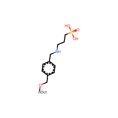 CCCCCCCCOCc1ccc(CNCCCP(=O)(O)O)cc1